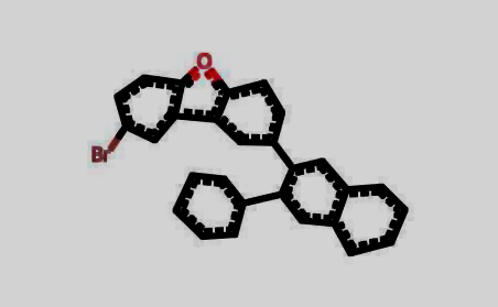 Brc1ccc2oc3ccc(-c4cc5ccccc5cc4-c4ccccc4)cc3c2c1